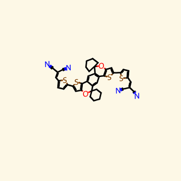 N#CC(C#N)=Cc1ccc(-c2cc3c(s2)-c2cc4c(cc2C2(CCCCC2)O3)-c2sc(-c3ccc(C=C(C#N)C#N)s3)cc2OC42CCCCC2)s1